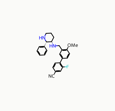 COc1ccc(-c2ccc(C#N)cc2F)cc1CN[C@H]1CCCN[C@H]1c1ccccc1